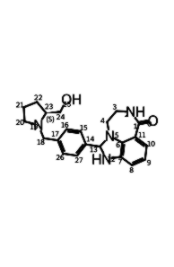 O=C1NCCN2c3c(cccc31)NC2c1ccc(CN2CCC[C@H]2CO)cc1